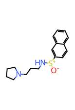 [O-][S+](NCCCN1CCCC1)c1ccc2ccccc2c1